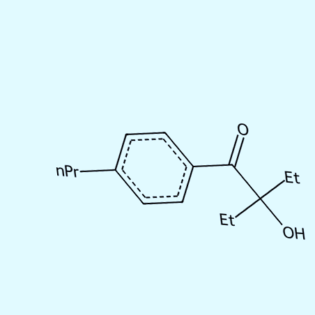 CCCc1ccc(C(=O)C(O)(CC)CC)cc1